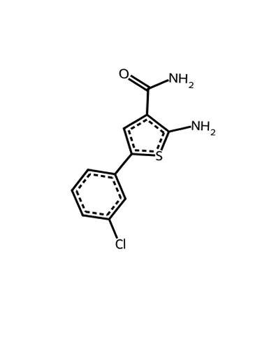 NC(=O)c1cc(-c2cccc(Cl)c2)sc1N